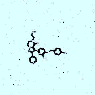 Cc1cc(-c2c(-c3ccncc3)nn3c2C(=O)N(CCO)CC3)ccc1OCc1ccc(C(C)C)cc1